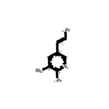 CC(C)/C=C/c1cnc(C(C)C)c(C(C)(C)C)c1